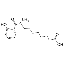 CN(CCCCCCCC(=O)O)C(=O)c1ccccc1O